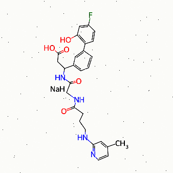 Cc1ccnc(NCCCC(=O)NCC(=O)NC(CC(=O)O)c2cccc(-c3ccc(F)cc3O)c2)c1.[NaH]